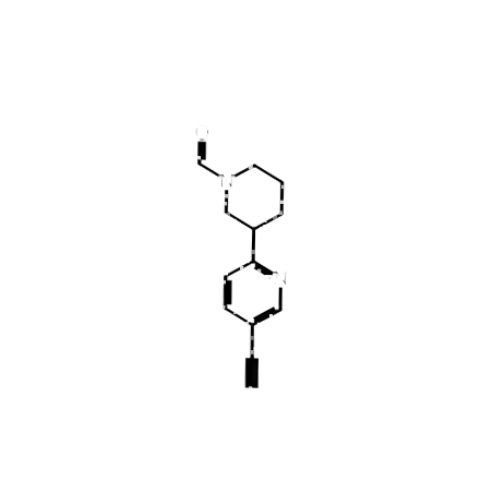 C#Cc1ccc(C2CCCN(C=O)C2)nc1